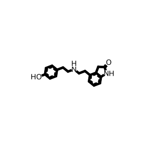 O=C1Cc2c(CCNCCc3ccc(O)cc3)cccc2N1